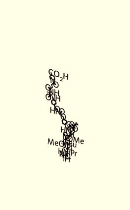 CC[C@H](C)[C@@H]([C@@H](CC(=O)N1CCC[C@H]1[C@H](OC)[C@@H](C)C(=O)N[C@@H](Cc1ccc(OCC(=O)NOCc2ccc(NC(=O)[C@H](C)NC(=O)CCC(=O)N3CCC(C(=O)O)CC3)cc2)cc1)C(=O)NS(=O)(=O)C1CC1)OC)N(C)C(=O)[C@@H](NC(=O)[C@H](C(C)C)N(C)C)C(C)C